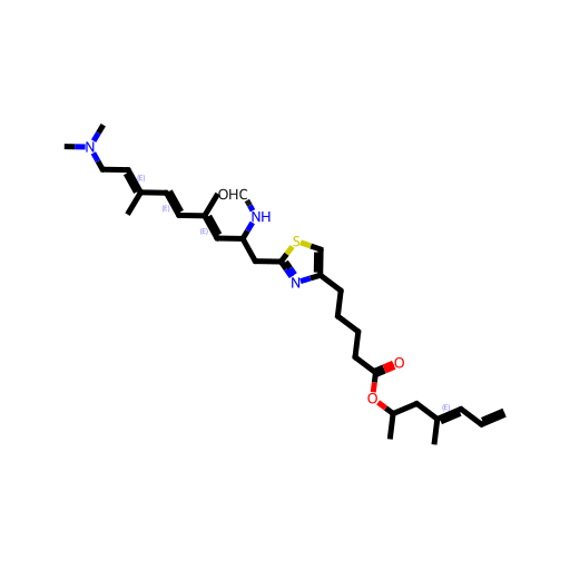 C=C/C=C(\C)CC(C)OC(=O)CCCCc1csc(CC(/C=C(C)/C=C/C(C)=C/CN(C)C)NC=O)n1